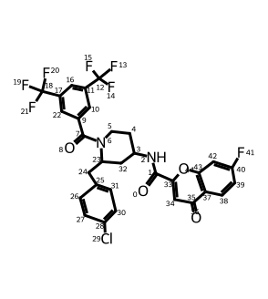 O=C(NC1CCN(C(=O)c2cc(C(F)(F)F)cc(C(F)(F)F)c2)C(Cc2ccc(Cl)cc2)C1)c1cc(=O)c2ccc(F)cc2o1